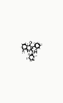 O=c1c2cccc(Cl)c2nc(Nc2cccnc2)n1-c1ccccc1